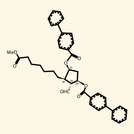 COC(=O)CCCCCC[C@@H]1[C@@H](C=O)[C@H](OC(=O)c2ccc(-c3ccccc3)cc2)C[C@@H]1OC(=O)c1ccc(-c2ccccc2)cc1